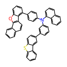 c1cc(-c2ccc3sc4ccccc4c3c2)cc(N(c2ccc(-c3cccc4oc5c6ccccc6ccc5c34)cc2)c2cccc3ccccc23)c1